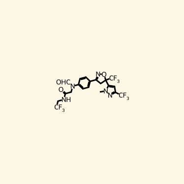 Cn1nc(C(F)(F)F)cc1C1(C(F)(F)F)CC(c2ccc(N(C=O)CC(=O)NCC(F)(F)F)cc2)=NO1